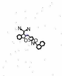 N#CC(C#N)=C1/C(=C/c2cc3oc(-c4cccc5ccccc45)nc3s2)C(=O)c2ccccc21